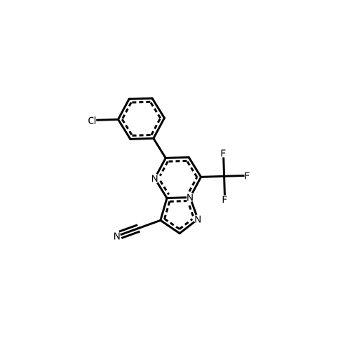 N#Cc1cnn2c(C(F)(F)F)cc(-c3cccc(Cl)c3)nc12